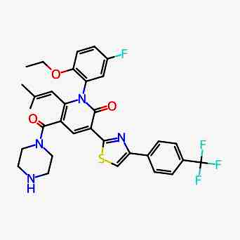 CCOc1ccc(F)cc1-n1c(C=C(C)C)c(C(=O)N2CCNCC2)cc(-c2nc(-c3ccc(C(F)(F)F)cc3)cs2)c1=O